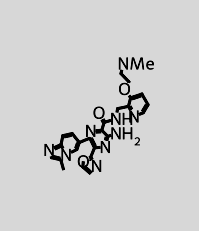 CNCCOc1cccnc1CNC(=O)c1nc(-c2ccc3ncc(C)n3c2)c(-c2ncco2)nc1N